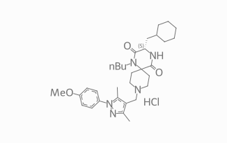 CCCCN1C(=O)[C@H](CC2CCCCC2)NC(=O)C12CCN(Cc1c(C)nn(-c3ccc(OC)cc3)c1C)CC2.Cl